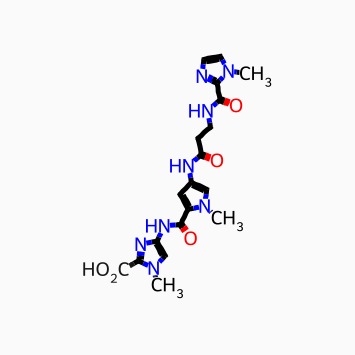 Cn1cc(NC(=O)CCNC(=O)c2nccn2C)cc1C(=O)Nc1cn(C)c(C(=O)O)n1